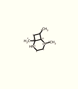 CC1CC2(C)NCCN(C)C12